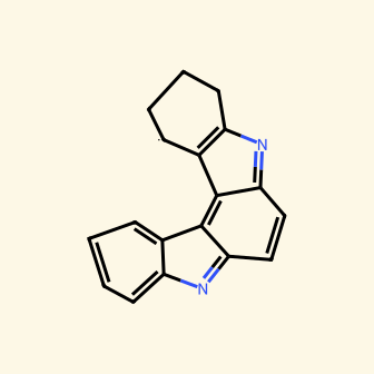 [CH]1CCCC2=C1c1c3c(ccc1=N2)=Nc1ccccc1-3